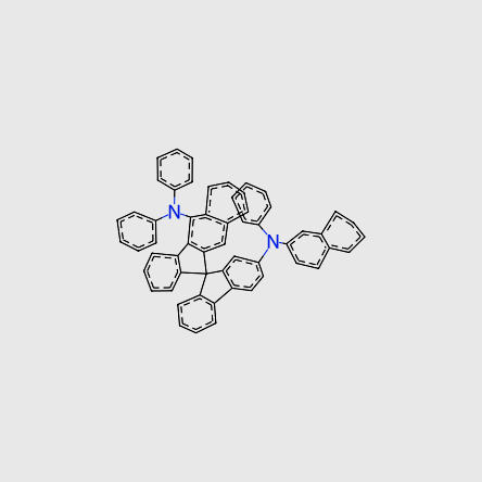 c1ccc(N(c2ccc3c(c2)C2(c4ccccc4-3)c3ccccc3-c3c2cc2ccccc2c3N(c2ccccc2)c2ccccc2)c2ccc3ccccc3c2)cc1